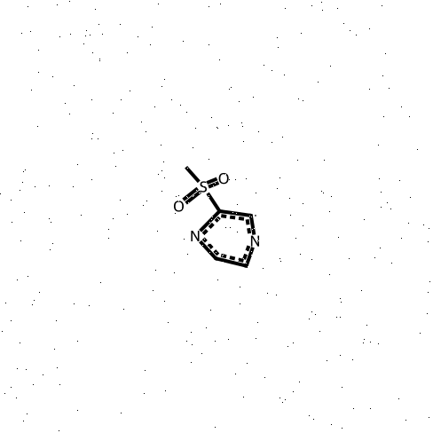 CS(=O)(=O)c1[c]nccn1